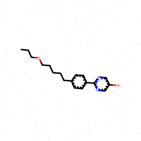 CCCOCCCCCc1ccc(-c2ncc(O)cn2)cc1